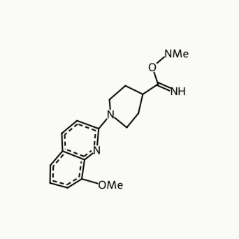 CNOC(=N)C1CCN(c2ccc3cccc(OC)c3n2)CC1